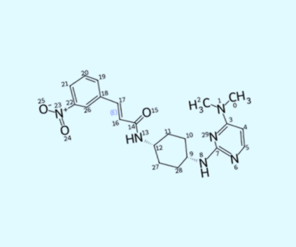 CN(C)c1ccnc(N[C@H]2CC[C@@H](NC(=O)/C=C/c3cccc([N+](=O)[O-])c3)CC2)n1